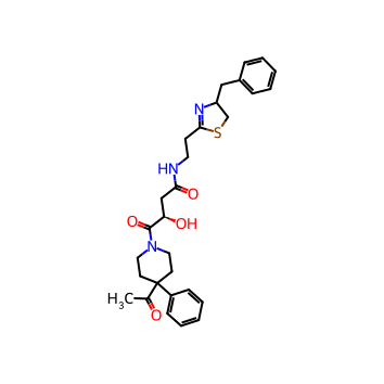 CC(=O)C1(c2ccccc2)CCN(C(=O)[C@H](O)CC(=O)NCCC2=NC(Cc3ccccc3)CS2)CC1